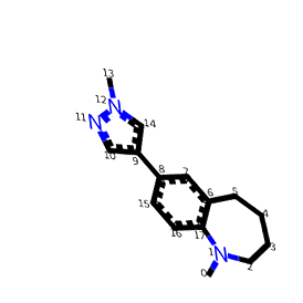 CN1CCCCc2cc(-c3cnn(C)c3)ccc21